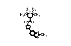 Cc1ncc2ccc(-c3cnc(NC(=O)C4CC(C)(C)OC(C)(C)C4)s3)cc2n1